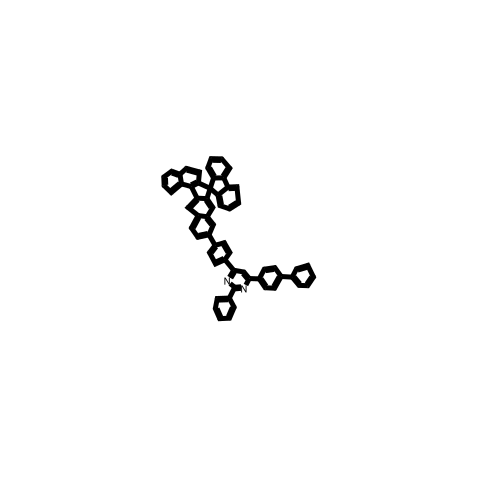 c1ccc(-c2ccc(-c3cc(-c4ccc(-c5ccc6cc7c(cc6c5)C5(c6ccccc6-c6ccccc65)c5ccc6ccccc6c5-7)cc4)nc(-c4ccccc4)n3)cc2)cc1